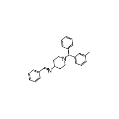 Cc1cccc(C(c2ccccc2)N2CCC(/N=C/c3ccccc3)CC2)c1